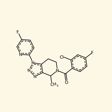 CC1c2nnn(-c3ccc(F)cn3)c2CCN1C(=O)c1ccc(F)cc1Cl